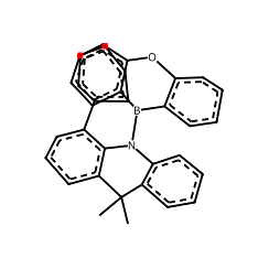 CC1(C)c2ccccc2N(B2c3ccccc3Oc3ccccc32)c2c(-c3ccccc3)cccc21